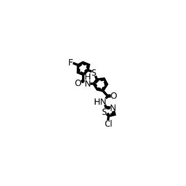 O=C(Nc1ncc(Cl)s1)c1ccc2c(c1)NC(=O)c1cc(F)ccc1S2